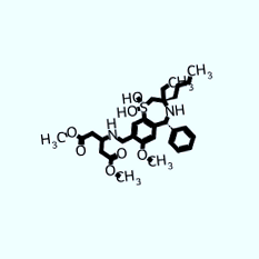 CCCC[C@]1(CC)CS(O)(O)c2cc(CNC(CC(=O)OC)CC(=O)OC)c(OC)cc2[C@@H](c2ccccc2)N1